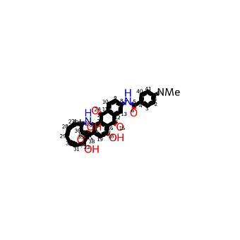 CNc1ccc(C(=O)Nc2ccc3c(c2)C(=O)c2c(O)cc4c(c2C3=O)N[C@H]2C=C=CC#C[C@@H](O)[C@@]43O[C@@]23[C@@H](C)O)cc1